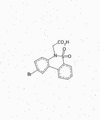 O=C(O)CN1c2ccc(Br)cc2-c2ccccc2S1(=O)=O